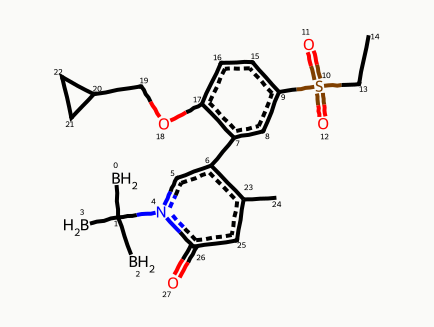 BC(B)(B)n1cc(-c2cc(S(=O)(=O)CC)ccc2OCC2CC2)c(C)cc1=O